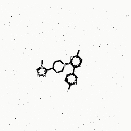 Cc1ccc(-c2ccc(F)nc2)c(N2CCC(c3nncn3C)CC2)n1